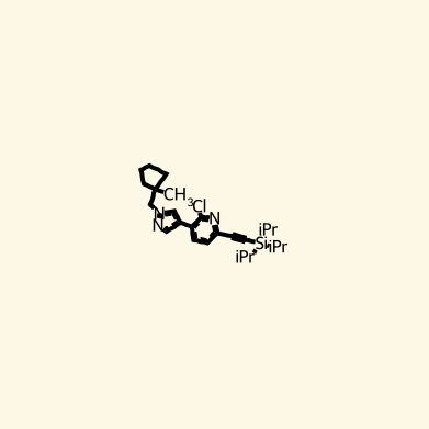 CC(C)[Si](C#Cc1ccc(-c2cnn(CC3(C)CCCC3)c2)c(Cl)n1)(C(C)C)C(C)C